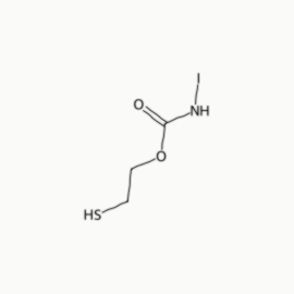 O=C(NI)OCCS